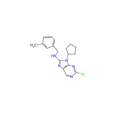 Cc1cccc(CNc2nc3cnc(Cl)nc3n2C2CCCC2)c1